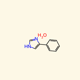 O.c1ccc(-c2c[nH]cn2)cc1